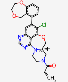 C=CC(=O)N1CCN2c3ncnc4cc(-c5cccc6c5COCCO6)c(Cl)c(c34)OC[C@@H]2C1